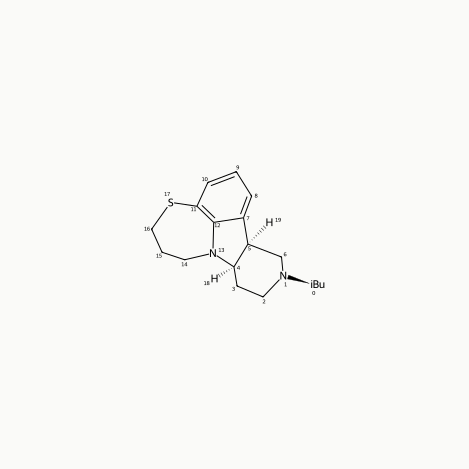 CC[C@H](C)N1CC[C@@H]2[C@H](C1)c1cccc3c1N2CCCS3